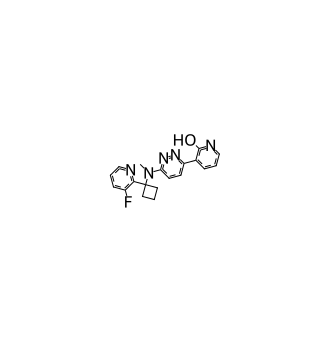 CN(c1ccc(-c2cccnc2O)nn1)C1(c2ncccc2F)CCC1